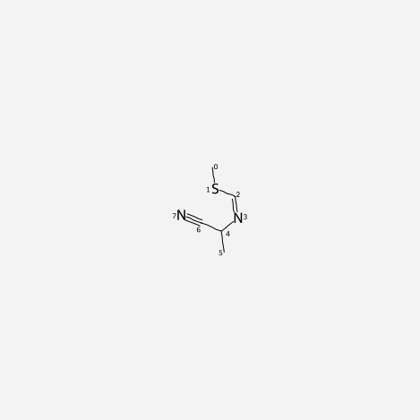 CS/C=N\C(C)C#N